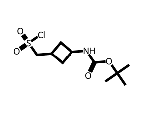 CC(C)(C)OC(=O)NC1CC(CS(=O)(=O)Cl)C1